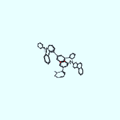 CC1CC=CC=C1c1cccc(N(c2ccc3c(ccc4ccccc43)c2)c2ccccc2-c2cccc(-c3cccc4c3c3ccccc3n4-c3ccccc3)c2)c1